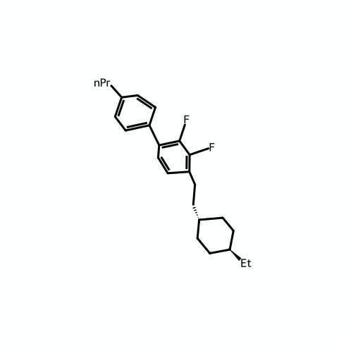 CCCc1ccc(-c2ccc(CC[C@H]3CC[C@H](CC)CC3)c(F)c2F)cc1